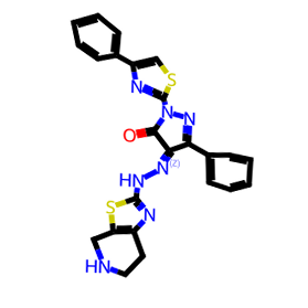 O=C1/C(=N\Nc2nc3c(s2)CNCC3)C(c2ccccc2)=NN1c1nc(-c2ccccc2)cs1